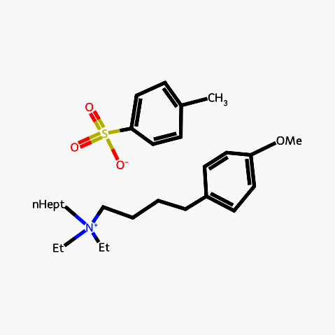 CCCCCCC[N+](CC)(CC)CCCCc1ccc(OC)cc1.Cc1ccc(S(=O)(=O)[O-])cc1